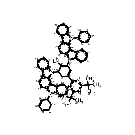 CC(C)(C)c1nc(C2=CC(n3c4ccccc4c4c3ccc3c5ccccc5n(-c5ccccc5)c34)=C(N)C(n3c4ccccc4c4ccc5c(c6ccccc6n5C5C=CC=CC5)c43)C2)nc(C(C)(C)C)n1